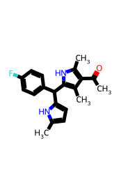 CC(=O)c1c(C)[nH]c(C(c2ccc(F)cc2)c2ccc(C)[nH]2)c1C